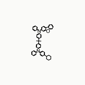 CC(C)(c1ccc(N(c2ccccc2)c2ccc(C3CCCCC3)cc2)cc1)c1ccc(N(c2ccccc2)c2ccc3c(c2)oc2ccccc23)cc1